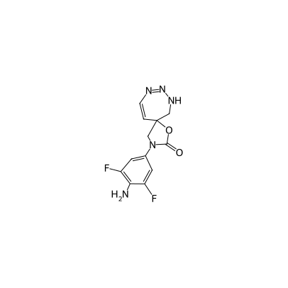 Nc1c(F)cc(N2CC3(C=CN=NNC3)OC2=O)cc1F